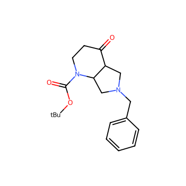 CC(C)(C)OC(=O)N1CCC(=O)C2CN(Cc3ccccc3)CC21